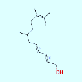 CC(C)=C(C)CCC(C)C/C=C/C=C/CO